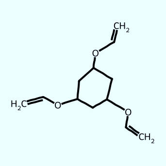 C=COC1CC(OC=C)CC(OC=C)C1